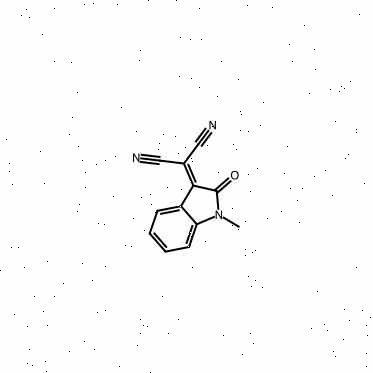 CN1C(=O)C(=C(C#N)C#N)c2ccccc21